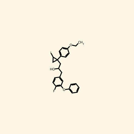 CCOc1ccc(C2(CC(O)Cc3ccc(F)c(Oc4ccccc4)c3)CC2I)cc1